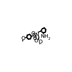 COC(=O)CN(Cc1ccccc1N)S(=O)(=O)c1ccc(OC)cc1